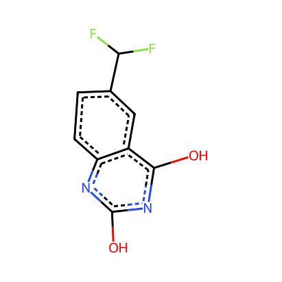 Oc1nc(O)c2cc(C(F)F)ccc2n1